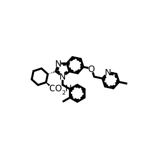 Cc1ccc(COc2ccc3nc([C@H]4CCCC[C@@H]4C(=O)O)n(Cc4ccccc4C)c3c2)nc1